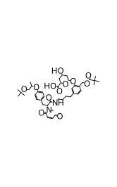 CC(COC(C)(C)C)Oc1ccc(CC(C(=O)NCCCCc2ccc(COC(=O)C(C)(C)C)c(OC3CC(O)CC(C(=O)O)O3)c2)N(C)C(=O)/C=C\C=O)cc1